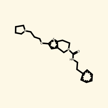 O=C(NCCc1ccccc1)N1CCc2sc(OCCCN3CCCC3)cc2C1